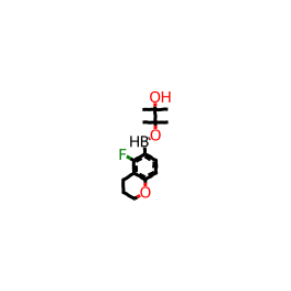 CC(C)(O)C(C)(C)OBc1ccc2c(c1F)CCCO2